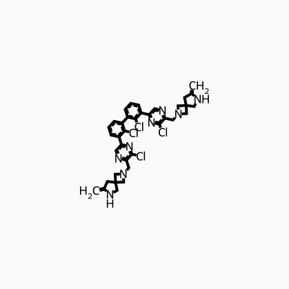 C=C1CC2(CN1)CN(Cc1ncc(-c3cccc(-c4cccc(-c5cnc(CN6CC7(CNC(=C)C7)C6)c(Cl)n5)c4Cl)c3Cl)nc1Cl)C2